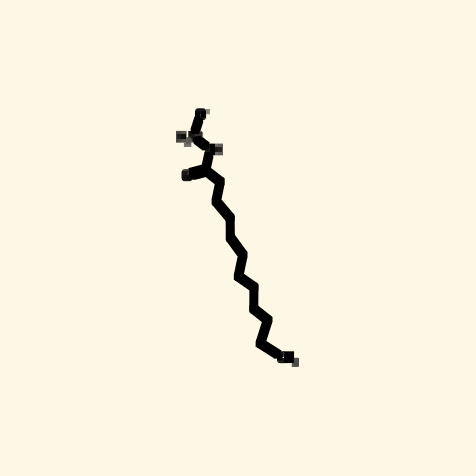 CCCCCCCCCCCC(=O)N[NH2+][O-]